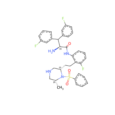 C[C@@H]1CNC[C@H](CCc2c(F)cccc2NC(=O)[C@@H](N)C(c2cccc(F)c2)c2cccc(F)c2)N1S(=O)(=O)c1ccccc1